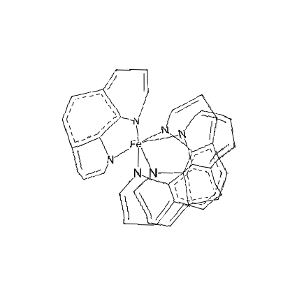 C1=C[N]2c3c4c(ccc3=C1)=CC=C[N]4[Fe]213([N]2C=CC=c4ccc5c(c42)[N]1C=CC=5)[N]1C=CC=c2ccc4c(c21)[N]3C=CC=4